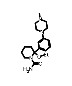 CCOC1(c2cccc(N3CCN(C)CC3)c2)CCCCN1C(N)=O